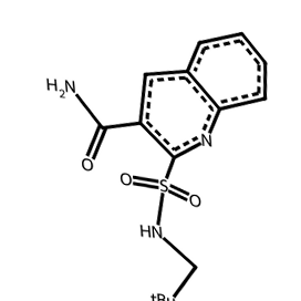 CC(C)(C)CNS(=O)(=O)c1nc2ccccc2cc1C(N)=O